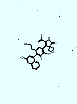 C=C(CC)C1=C(c2cc(CCC#N)c(-c3cc(O)cc4ccccc34)c(F)c2CCC)C2(CNC2)C(=O)N1